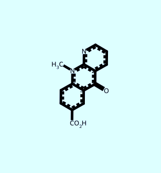 Cn1c2ccc(C(=O)O)cc2c(=O)c2cccnc21